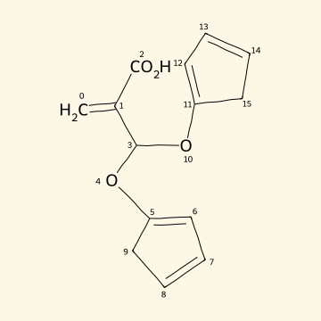 C=C(C(=O)O)C(OC1=CC=CC1)OC1=CC=CC1